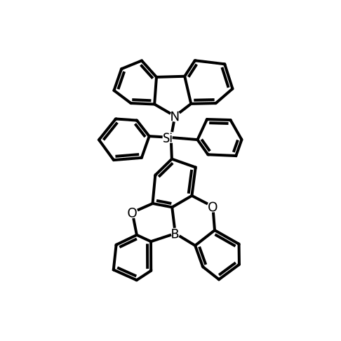 c1ccc([Si](c2ccccc2)(c2cc3c4c(c2)Oc2ccccc2B4c2ccccc2O3)n2c3ccccc3c3ccccc32)cc1